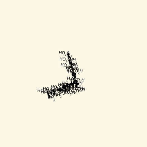 CC(C)[C@H](N)C(=O)O.CC[C@H](C)[C@H](N)C(=O)O.C[C@@H](O)[C@H](N)C(=O)O.NC(=O)CC[C@H](N)C(=O)O.NC(=O)C[C@H](N)C(=O)O.NCC(=O)O.NCCCC[C@H](N)C(=O)O.N[C@@H](Cc1c[nH]c2ccccc12)C(=O)O.N[C@@H](Cc1c[nH]cn1)C(=O)O.N[C@@H](Cc1ccc(O)cc1)C(=O)O.N[C@@H](Cc1ccc(O)cc1)C(=O)O.N[C@@H](Cc1ccc(O)cc1)C(=O)O.O=C(O)[C@@H]1CCCN1.[N-]=[N+]=NCC(=O)O